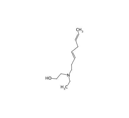 CC=CCC=CCCN(CC)CCO